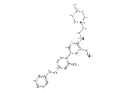 N=Cc1cc(-n2ccc(OCc3ccccc3)cc2=O)ccc1NCCN1CCC(F)CC1